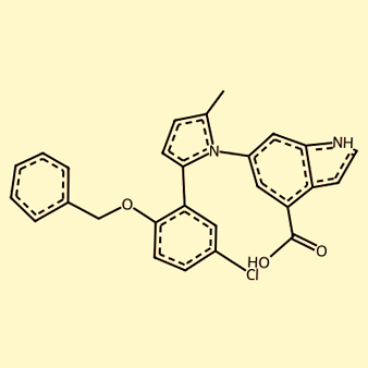 Cc1ccc(-c2cc(Cl)ccc2OCc2ccccc2)n1-c1cc(C(=O)O)c2cc[nH]c2c1